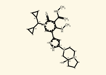 C=C(NC)c1c(NC)c(-c2cc(N3CCN4CCC[C@@H]4C3)[nH]n2)cn(C(C2CC2)C2CC2)c1=O